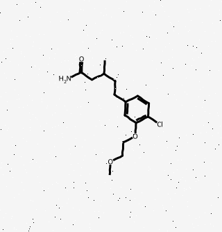 COCCOc1cc(CCC(C)CC(N)=O)ccc1Cl